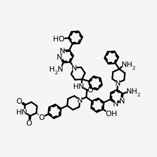 Nc1nnc(-c2cc(C(C(=O)NC3(c4ccccc4)CCN(c4cc(-c5ccccc5O)nnc4N)CC3)N3CCC(c4ccc(O[C@H]5CCC(=O)NC5=O)cc4)CC3)ccc2O)cc1N1CCC(N)(c2ccccc2)CC1